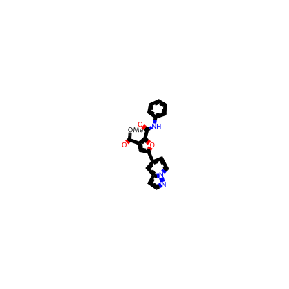 COC(=O)c1cc(-c2ccn3nccc3c2)oc1C(=O)Nc1ccccc1